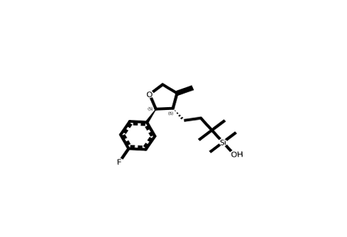 C=C1CO[C@H](c2ccc(F)cc2)[C@H]1CCC(C)(C)[Si](C)(C)O